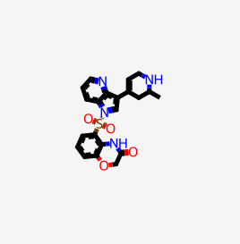 CC1CC(c2cn(S(=O)(=O)c3cccc4c3NC(=O)CO4)c3cccnc23)=CCN1